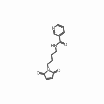 O=C(NCCCCN1C(=O)C=CC1=O)c1cccnc1